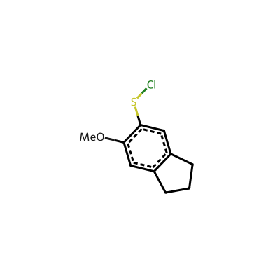 COc1cc2c(cc1SCl)CCC2